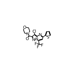 O=C(c1nn2c(C(F)(F)F)cc(-c3cccs3)nc2c1Cl)N1CCOCC1